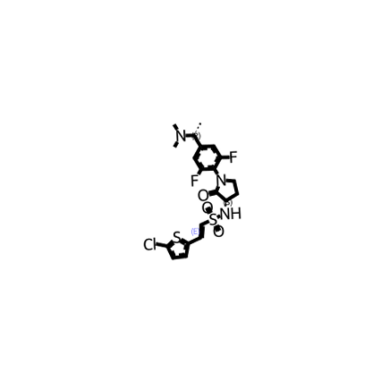 C[C@H](c1cc(F)c(N2CC[C@H](NS(=O)(=O)/C=C/c3ccc(Cl)s3)C2=O)c(F)c1)N(C)C